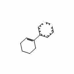 [C]1=C(c2ccnnc2)CCCC1